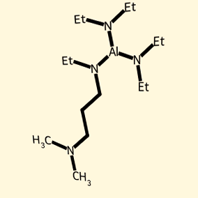 CC[N](CC)[Al]([N](CC)CC)[N](CC)CCCN(C)C